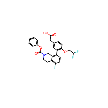 O=C(O)Cc1ccc(OCC(F)F)c(-c2ccc(F)c3c2CN(C(=O)Oc2ccccc2)CC3)c1